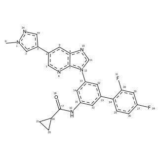 Cn1cc(-c2cnc3c(c2)ncn3-c2cc(NC(=O)C3CC3)cc(-c3ccc(F)cc3F)c2)cn1